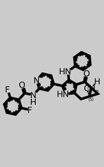 C[C@]12Cc3[nH]c(-c4ccnc(NC(=O)c5c(F)cccc5F)c4)c(Nc4ccccc4)c3C(=O)[C@H]1C2